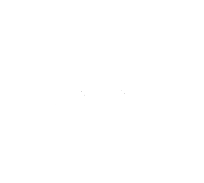 OCCN(CCO)c1ccc(-c2ccc3ccccc3n2)cc1